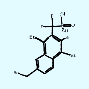 CCc1c(Br)c(C(F)(F)P(=O)(O)O)c(CC)c2cc(CBr)ccc12